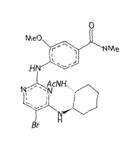 CNC(=O)c1ccc(Nc2ncc(Br)c(N[C@@H]3CCCC[C@H]3NC(C)=O)n2)c(OC)c1